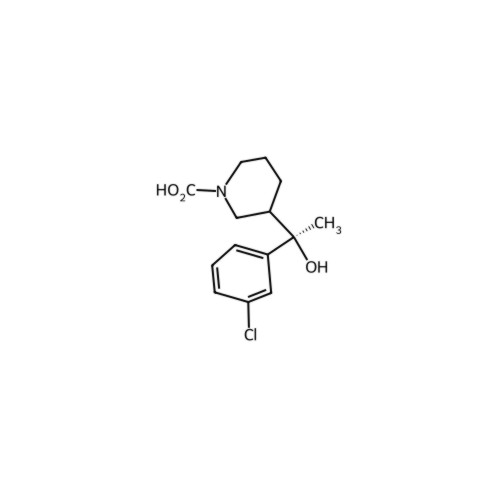 C[C@](O)(c1cccc(Cl)c1)C1CCCN(C(=O)O)C1